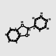 c1ccc2c(c1)OB(c1ccnnc1)O2